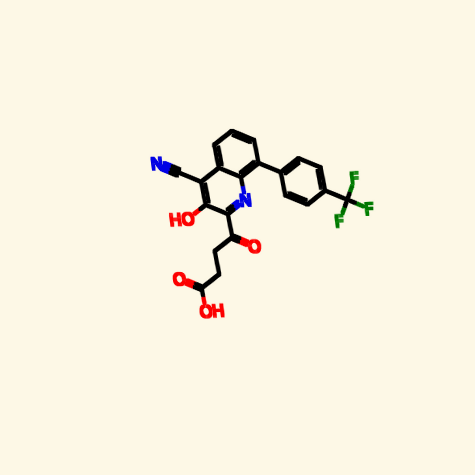 N#Cc1c(O)c(C(=O)CCC(=O)O)nc2c(-c3ccc(C(F)(F)F)cc3)cccc12